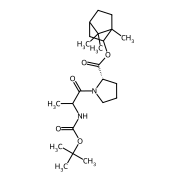 CC(NC(=O)OC(C)(C)C)C(=O)N1CCC[C@H]1C(=O)OC1CC2CCC1(C)C2(C)C